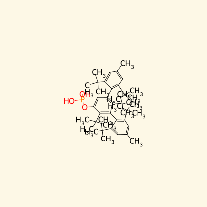 Cc1cc(C(C)(C)C)c(-c2cc(OP(O)O)c(C(C)(C)C)c(-c3c(C(C)(C)C)cc(C)cc3C(C)(C)C)c2C(C)(C)C)c(C(C)(C)C)c1